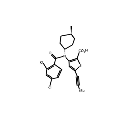 CC(C)(C)C#Cc1cc(N(C(=O)c2ccc(Cl)cc2Cl)[C@H]2CC[C@H](C)CC2)c(C(=O)O)s1